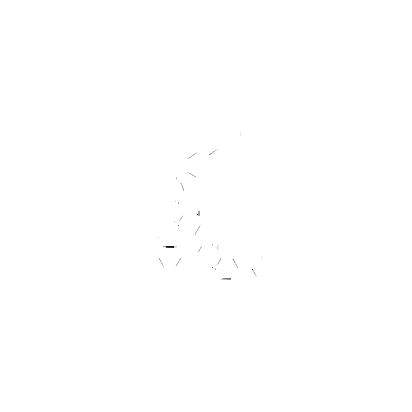 CC/C(C)=C\C=C/c1nc(NC2=NC(c3ccc(C)cc3Cl)C(C(=O)Nc3cc(C(=O)O)ccn3)=C(C)N2)oc1C